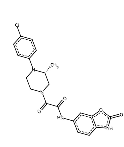 C[C@@H]1CN(C(=O)C(=O)Nc2ccc3[nH]c(=O)oc3c2)CCN1c1ccc(Cl)cc1